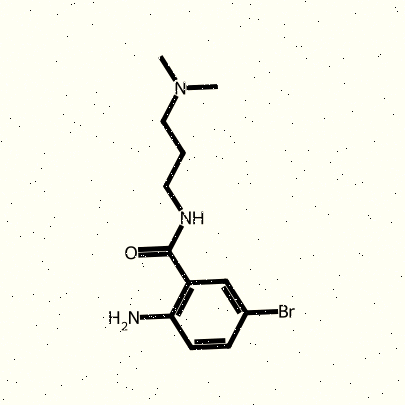 CN(C)CCCNC(=O)c1cc(Br)ccc1N